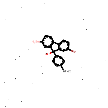 Bc1ccc2c(c1)C(O)(c1ccc(CCCCCC)cc1)c1cc(Br)ccc1-2